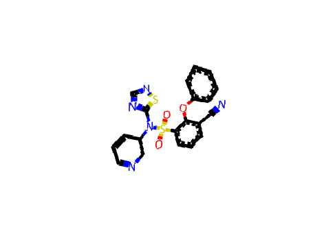 N#Cc1cccc(S(=O)(=O)N(c2ncns2)C2C=CC=NC2)c1Oc1ccccc1